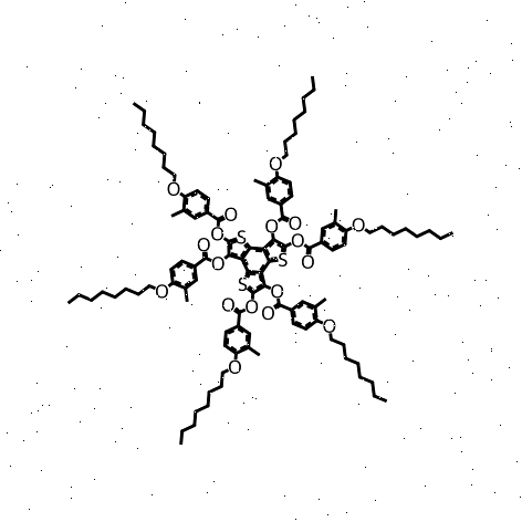 CCCCCCCCOc1ccc(C(=O)Oc2sc3c(c2OC(=O)c2ccc(OCCCCCCCC)c(C)c2)c2sc(OC(=O)c4ccc(OCCCCCCCC)c(C)c4)c(OC(=O)c4ccc(OCCCCCCCC)c(C)c4)c2c2sc(OC(=O)c4ccc(OCCCCCCCC)c(C)c4)c(OC(=O)c4ccc(OCCCCCCCC)c(C)c4)c32)cc1C